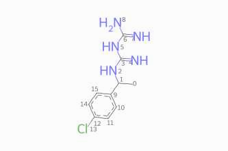 CC(NC(=N)NC(=N)N)c1ccc(Cl)cc1